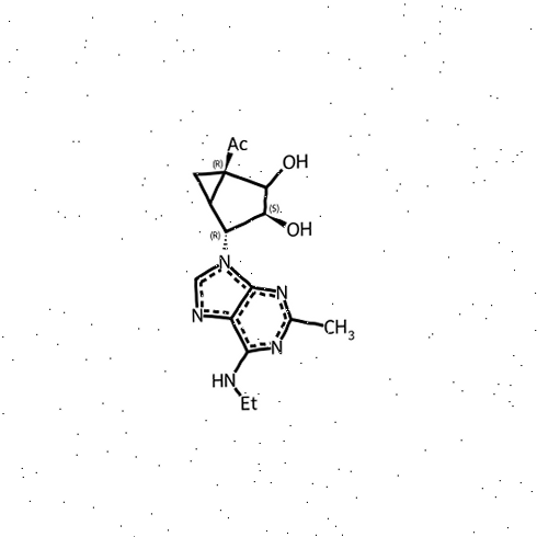 CCNc1nc(C)nc2c1ncn2[C@@H]1C2C[C@]2(C(C)=O)C(O)[C@H]1O